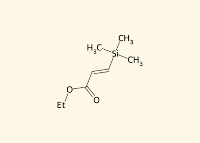 CCOC(=O)C=C[Si](C)(C)C